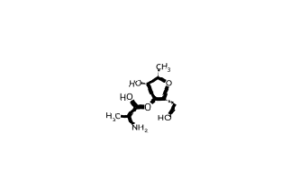 CC(N)C(O)OC1[C@@H](CO)O[C@@H](C)[C@H]1O